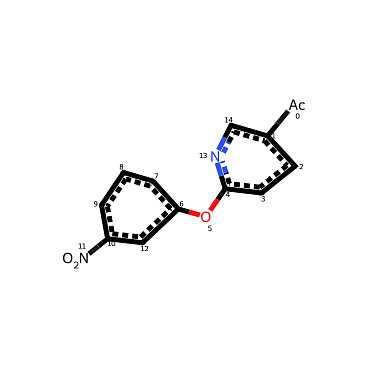 CC(=O)c1ccc(Oc2cccc([N+](=O)[O-])c2)nc1